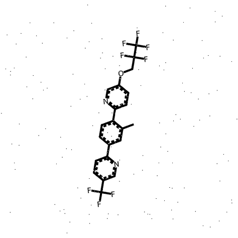 Cc1cc(-c2ccc(C(F)(F)F)cn2)ccc1-c1ccc(OCC(F)(F)C(F)(F)F)cn1